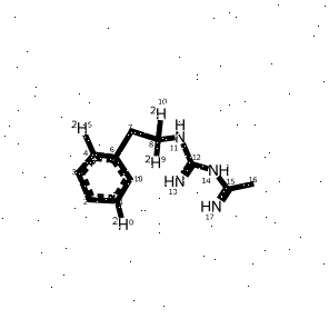 [2H]c1ccc([2H])c(CC([2H])([2H])NC(=N)NC(C)=N)c1